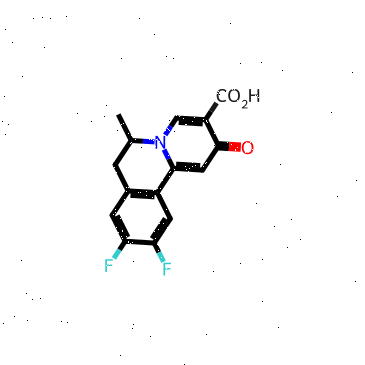 CC1Cc2cc(F)c(F)cc2-c2cc(=O)c(C(=O)O)cn21